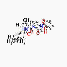 CC(C)CC(NC(=O)c1ccc(C(C)(C)C)cc1)C(=O)N1CCC2C1C(=O)CN2C(=O)C1(O)CCCC1